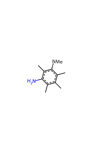 CNc1c(C)c(C)c(C)c(N)c1C